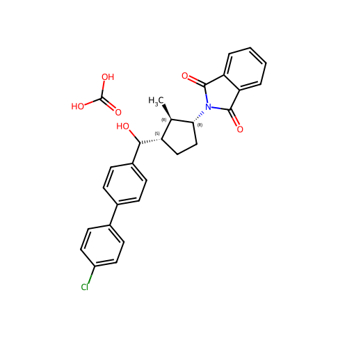 C[C@@H]1[C@@H](C(O)c2ccc(-c3ccc(Cl)cc3)cc2)CC[C@H]1N1C(=O)c2ccccc2C1=O.O=C(O)O